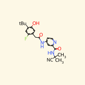 CC(C)(C#N)NC(=O)c1cc(NC(=O)Cc2cc(O)c(C(C)(C)C)cc2F)ccn1